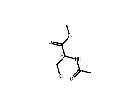 COC(=O)[C@H](CCl)NC(C)=O